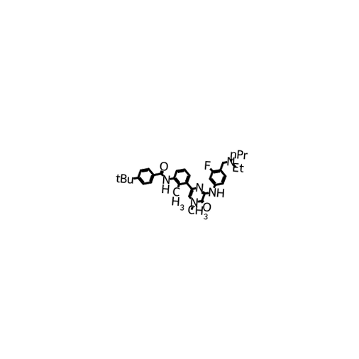 CCCN(CC)Cc1ccc(Nc2nc(-c3cccc(NC(=O)c4ccc(C(C)(C)C)cc4)c3C)cn(C)c2=O)cc1F